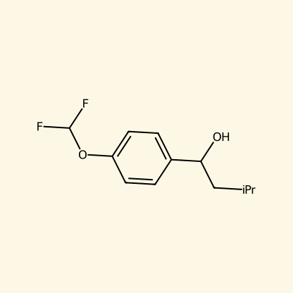 CC(C)CC(O)c1ccc(OC(F)F)cc1